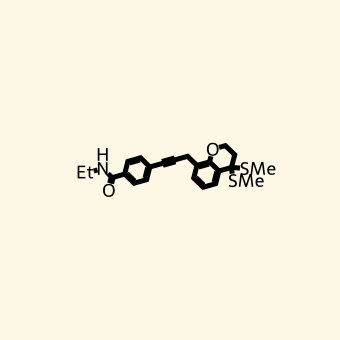 CCNC(=O)c1ccc(C#CCc2cccc3c2OCCC3(SC)SC)cc1